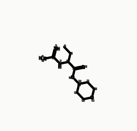 CCC(NC(=N)N)C(=O)ON1CCOCC1